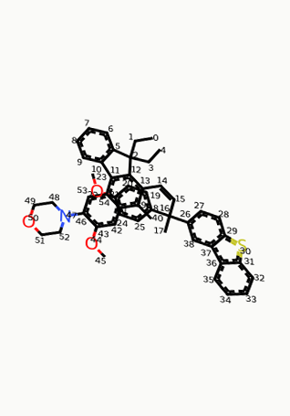 CCC1(CC)c2ccccc2-c2c1c(/C=C\C(C)(c1ccc(OC)cc1)c1ccc3sc4ccccc4c3c1)c(C)c1cc(OC)c(N3CCOCC3)cc21